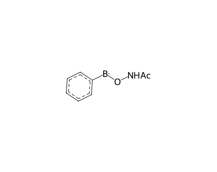 CC(=O)NO[B]c1ccccc1